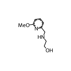 COc1cccc(CNCCO)n1